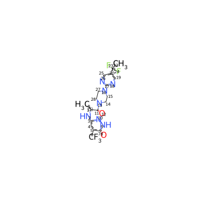 C[C@H](Nc1cc(C(F)(F)F)c(=O)[nH]n1)C(=O)N1CCN(c2ncc(C(C)(F)F)cn2)CC1